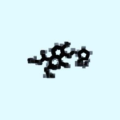 COC(=O)c1c(N(C(=O)OC(C)(C)C)C(=O)OC(C)(C)C)ccc(Br)c1OC[C@@H]1CCCN1C(=O)O